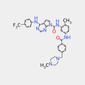 Cc1ccc(NC(=O)c2ccc(CN3CCN(C)CC3)cc2)cc1NC(=O)n1ccc2c(Nc3ccc(C(F)(F)F)cc3)ncnc21